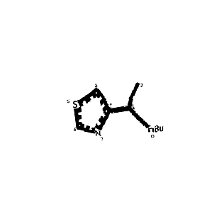 [CH2]CCCC(C)c1cscn1